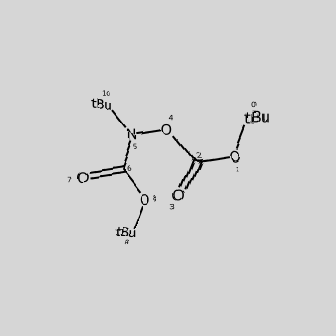 CC(C)(C)OC(=O)ON(C(=O)OC(C)(C)C)C(C)(C)C